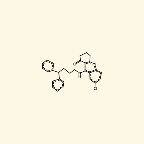 O=C1CCCc2nc3ccc(Cl)cc3c(NCCCC(c3ccccc3)c3ccccc3)c21